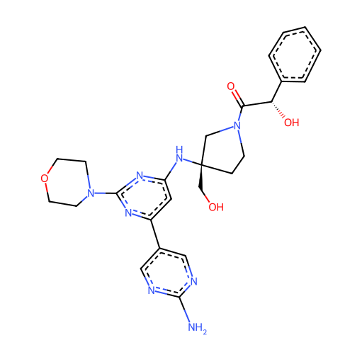 Nc1ncc(-c2cc(N[C@@]3(CO)CCN(C(=O)[C@@H](O)c4ccccc4)C3)nc(N3CCOCC3)n2)cn1